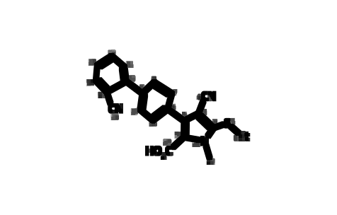 CCSc1c(C#N)c(-c2ccc(-c3ccccc3C#N)cc2)c(C(=O)O)n1C